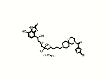 CC(C)c1nc(C(=O)N2CCOC3(CCN(CCCCCC(C)(C)CNC[C@H](O)c4ccc(O)c5[nH]c(=O)sc45)CC3)C2)cs1.O=CO